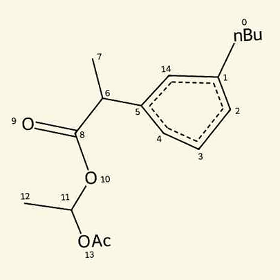 CCCCc1cccc(C(C)C(=O)OC(C)OC(C)=O)c1